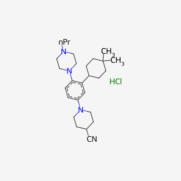 CCCN1CCN(c2ccc(N3CCC(C#N)CC3)cc2C2CCC(C)(C)CC2)CC1.Cl